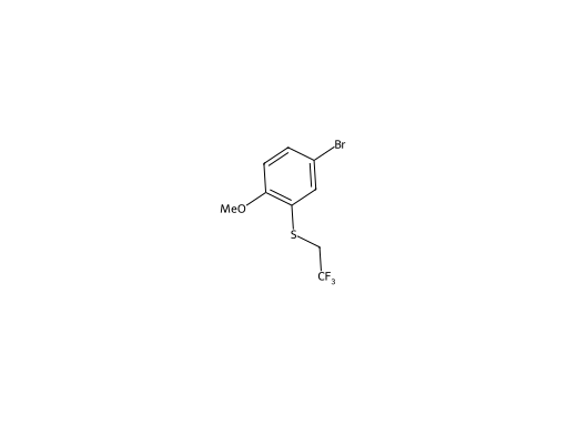 COc1ccc(Br)cc1SCC(F)(F)F